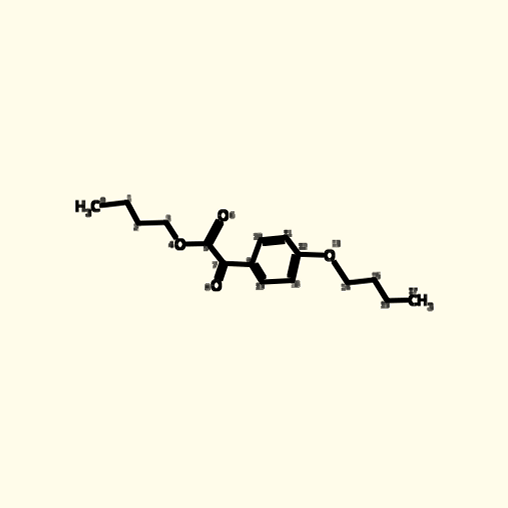 CCCCOC(=O)C(=O)c1ccc(OCCCC)cc1